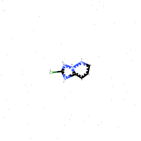 Clc1nc2cccnn2n1